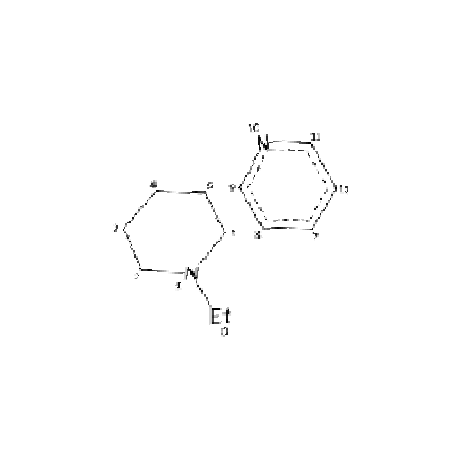 CCN1CCCCC1.c1ccncc1